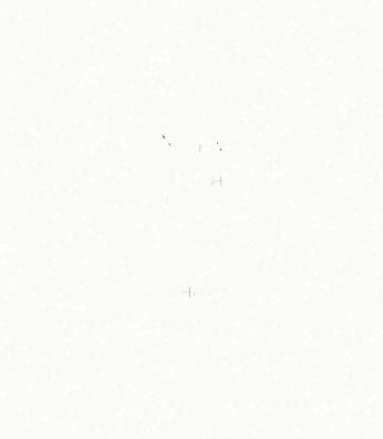 CCCCCCCC1CCC([C@H]2CC[C@@H]3C[C@](C#N)(CCC)CC[C@@H]3C2)CC1